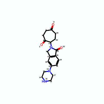 O=C1CCC(=O)C(N2Cc3cc(N4CCNCC4)ccc3C2=O)CC1